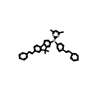 Cc1cc(C)nc(N(c2ccc(/C=C/c3ccccc3)cc2)c2ccc3c(c2)C(C)(C)c2cc(/C=C/c4ccccc4)ccc2-3)n1